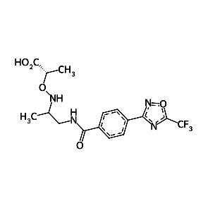 CC(CNC(=O)c1ccc(-c2noc(C(F)(F)F)n2)cc1)NO[C@@H](C)C(=O)O